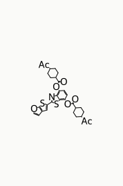 CC(=O)C1CCC(C(=O)Oc2ccc(OC(=O)C3CCC(C(C)=O)CC3)c3sc(-c4cc5ccoc5s4)nc23)CC1